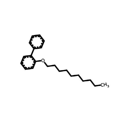 CCCCCCCCCCOc1ccccc1-c1ccccc1